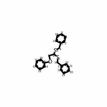 c1ccc(CSC(COc2ccccc2)SCc2ccccc2)cc1